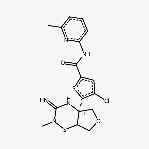 Cc1cccc(NC(=O)c2cc(Cl)c([C@]34COCC3SN(C)C(=N)N4)s2)n1